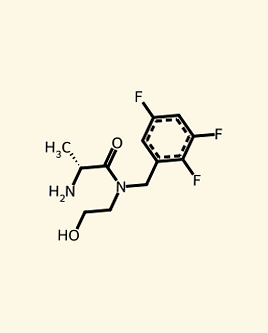 C[C@@H](N)C(=O)N(CCO)Cc1cc(F)cc(F)c1F